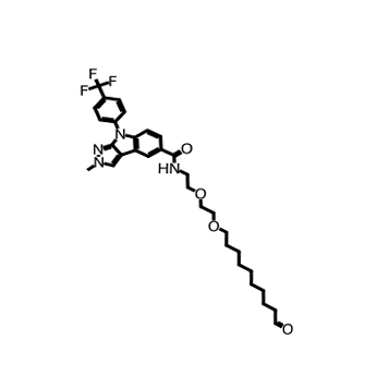 Cn1cc2c3cc(C(=O)NCCOCCOCCCCCCCCCC=O)ccc3n(-c3ccc(C(F)(F)F)cc3)c2n1